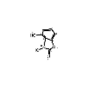 O=c1oc2cccc(O)c2n1O